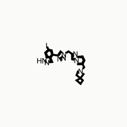 Ic1cc(-c2cn(Cc3cn4cc(CN5CCC6(CCC6)C5)ccc4n3)nn2)c2cn[nH]c2c1